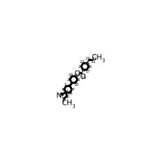 CCCC1(C#N)CCC(C2CCC(OC(=O)[C@H]3CC[C@H](CCC)CC3)CC2)CC1